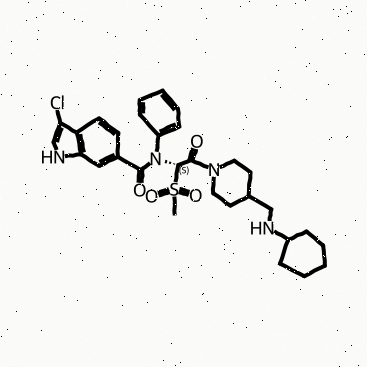 CS(=O)(=O)[C@@H](C(=O)N1CCC(CNC2CCCCC2)CC1)N(C(=O)c1ccc2c(Cl)c[nH]c2c1)c1ccccc1